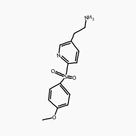 COc1ccc(S(=O)(=O)c2ccc(CCN)cn2)cc1